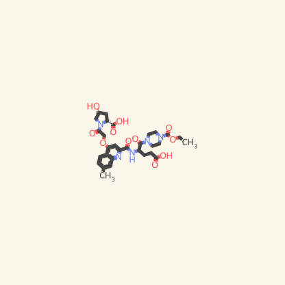 CCOC(=O)N1CCN(C(=O)C(CCC(=O)O)NC(=O)c2cc(OCC(=O)N3C[C@H](O)C[C@@H]3C(=O)O)c3ccc(C)cc3n2)CC1